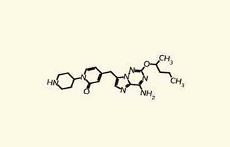 CCCC(C)Oc1nc(N)c2ncc(Cc3ccn(C4CCNCC4)c(=O)c3)n2n1